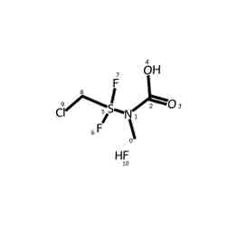 CN(C(=O)O)S(F)(F)CCl.F